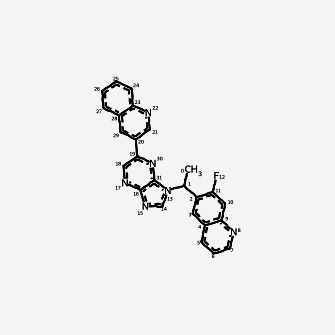 CC(c1cc2cccnc2cc1F)n1cnc2ncc(-c3cnc4ccccc4c3)nc21